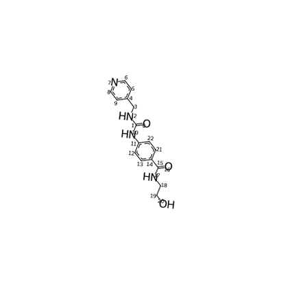 O=C(NCc1ccncc1)Nc1ccc(C(=O)NCCO)cc1